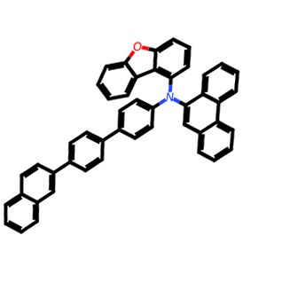 c1ccc2cc(-c3ccc(-c4ccc(N(c5cc6ccccc6c6ccccc56)c5cccc6oc7ccccc7c56)cc4)cc3)ccc2c1